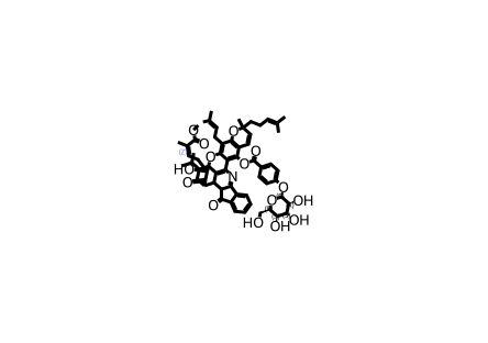 COC(=O)/C(C)=C\CC1(O)C(=O)C2CC(C(C)C)C13Oc1c(CC=C(C)C)c4c(c(OC(=O)c5ccc(O[C@@H]6O[C@H](CO)[C@@H](O)[C@H](O)[C@H]6O)cc5)c1C1=C3C2C2C(=O)c3ccccc3C2=N1)C=CC(C)(CCC=C(C)C)O4